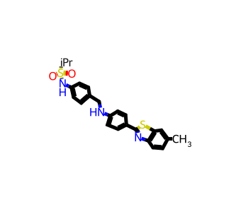 Cc1ccc2nc(-c3ccc(NCc4ccc(NS(=O)(=O)C(C)C)cc4)cc3)sc2c1